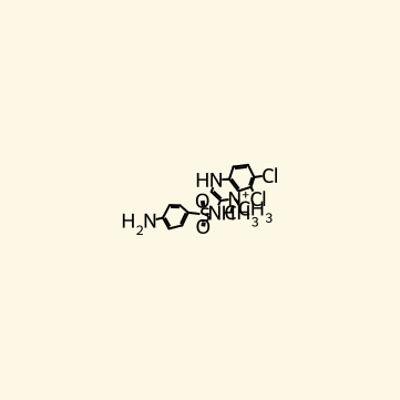 C[N+]1(C)C(NS(=O)(=O)c2ccc(N)cc2)=CNc2ccc(Cl)c(Cl)c21